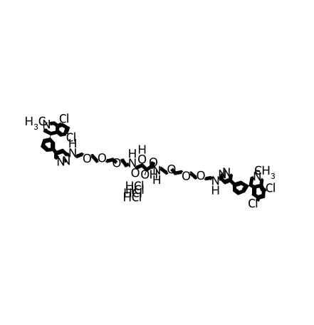 CN1Cc2c(Cl)cc(Cl)cc2[C@H](c2cccc(-c3cnnc(NCCOCCOCCOCCNC(=O)[C@H](O)[C@@H](O)C(=O)NCCOCCOCCOCCNc4cc(-c5cccc([C@@H]6CN(C)Cc7c(Cl)cc(Cl)cc76)c5)cnn4)c3)c2)C1.Cl.Cl.Cl.Cl